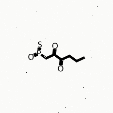 CCCC(=O)C(=O)CP(=O)=S